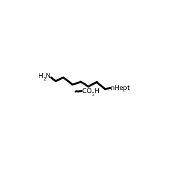 CC(=O)O.CCCCCCCCCCCCCCN